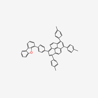 Cc1ccc(-c2cc(-c3ccc(C)cc3)c3ccc4c(-c5ccc(-c6cccc7c6oc6ccccc67)cc5)cc(-c5ccc(C)cc5)c5ccc2c3c54)cc1